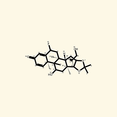 CC1(C)OC2C[C@H]3[C@@H]4CC(F)C5=CC(=O)C=C[C@]5(C)C4(F)C(O)C[C@]3(C)[C@]2(C(=O)CO)O1